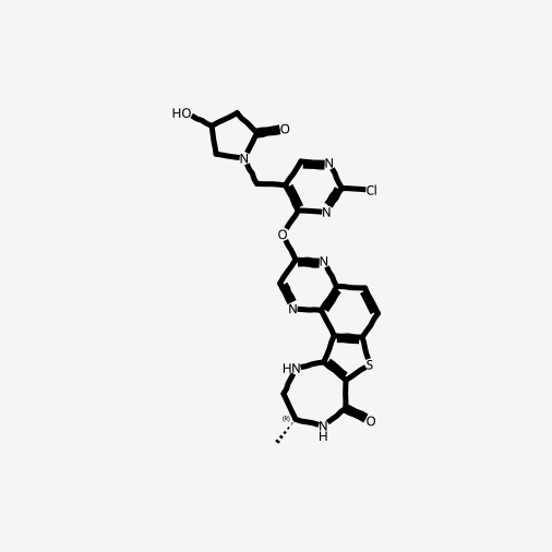 C[C@@H]1CNc2c(sc3ccc4nc(Oc5nc(Cl)ncc5CN5CC(O)CC5=O)cnc4c23)C(=O)N1